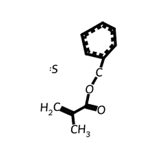 C=C(C)C(=O)OCc1ccccc1.[S]